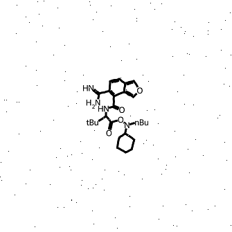 CCCCN(OC(=O)C(NC(=O)c1c(C(=N)N)ccc2cocc12)C(C)(C)C)C1CCCCC1